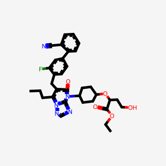 CCCc1c(Cc2ccc(-c3ccccc3C#N)cc2F)c(=O)n(C2CCC(OC(CCO)C(=O)OCC)CC2)c2ncnn12